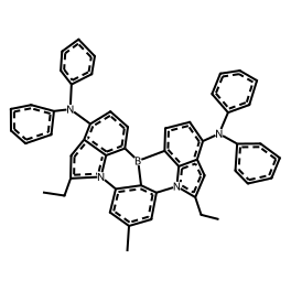 CCc1cc2c(N(c3ccccc3)c3ccccc3)ccc3c2n1-c1cc(C)cc2c1B3c1ccc(N(c3ccccc3)c3ccccc3)c3cc(CC)n-2c13